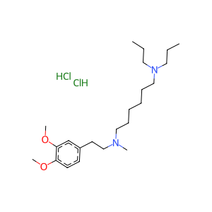 CCCN(CCC)CCCCCCN(C)CCc1ccc(OC)c(OC)c1.Cl.Cl